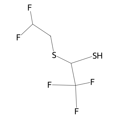 FC(F)CSC(S)C(F)(F)F